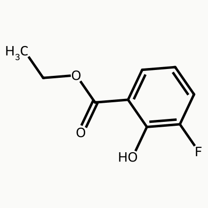 CCOC(=O)c1cccc(F)c1O